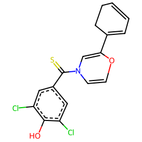 Oc1c(Cl)cc(C(=S)N2C=COC(C3=CC=CCC3)=C2)cc1Cl